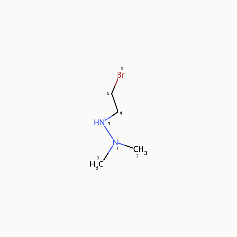 CN(C)NCCBr